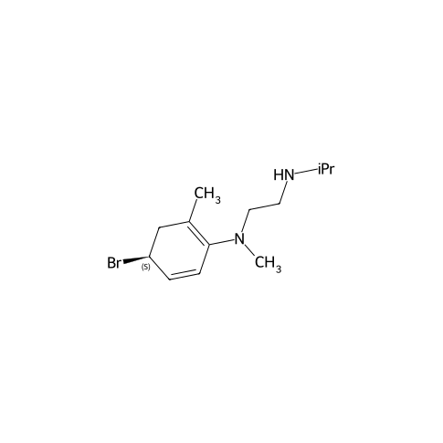 CC1=C(N(C)CCNC(C)C)C=C[C@@H](Br)C1